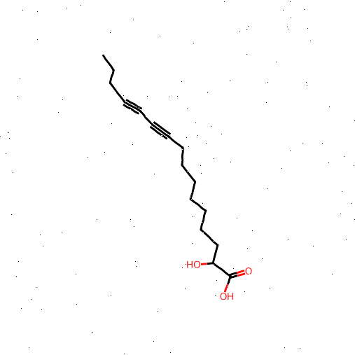 CCCC#CC#CCCCCCCCC(O)C(=O)O